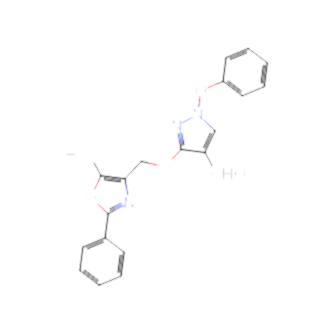 Cc1oc(-c2ccccc2)nc1COc1nn(Oc2ccccc2)cc1C=O